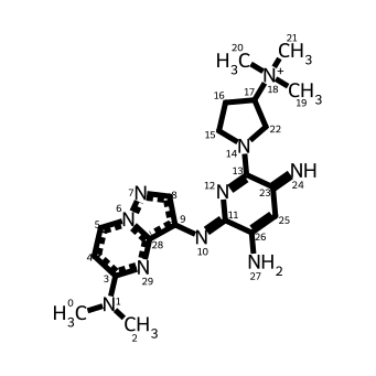 CN(C)c1ccn2ncc(/N=C3\N=C(N4CCC([N+](C)(C)C)C4)C(=N)C=C3N)c2n1